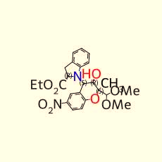 CCOC(=O)[C@H]1Cc2ccccc2N1[C@H]1c2cc([N+](=O)[O-])ccc2O[C@](C)(C(OC)OC)[C@@H]1O